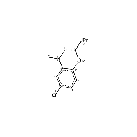 CC(C)C1CN(C)c2cc(Cl)ccc2O1